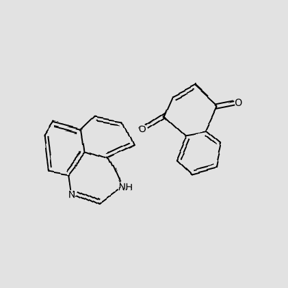 C1=Nc2cccc3cccc(c23)N1.O=C1C=CC(=O)c2ccccc21